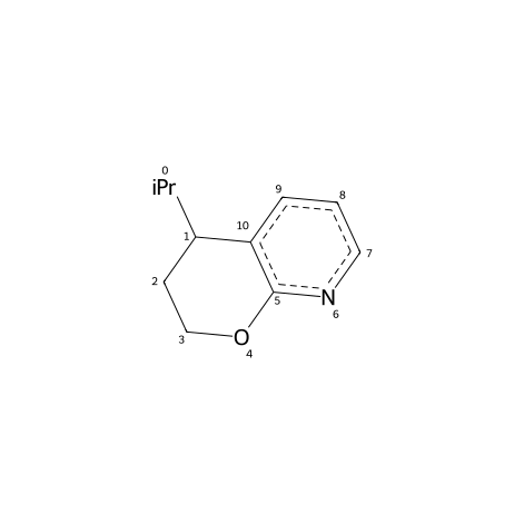 CC(C)C1CCOc2ncccc21